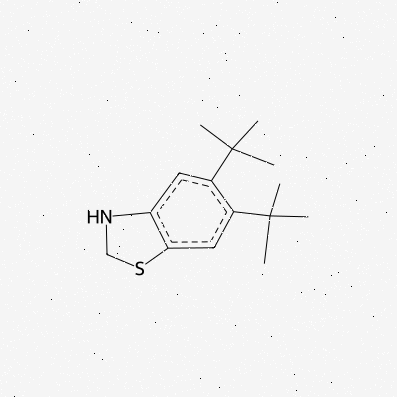 CC(C)(C)c1cc2c(cc1C(C)(C)C)SCN2